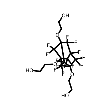 OCCOC12C(F)(F)C3(F)C(F)(F)C(OCCO)(C1(F)F)C(F)(F)C(OCCO)(C3(F)F)C2(F)F